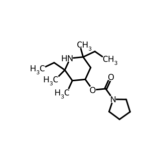 CCC1(C)CC(OC(=O)N2CCCC2)C(C)C(C)(CC)N1